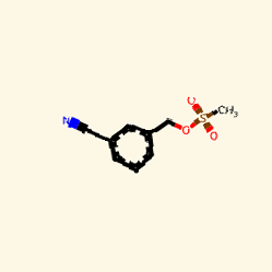 CS(=O)(=O)OCc1cccc(C#N)c1